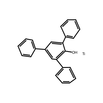 Oc1c(-c2ccccc2)cc(-c2ccccc2)cc1-c1ccccc1.[Ti]